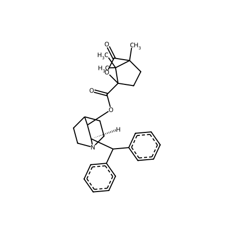 CC12CCC(C(=O)OC3C4CCN(CC4)[C@@H]3C(c3ccccc3)c3ccccc3)(OC1=O)C2(C)C